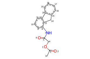 CC(=O)OCC(=O)Nc1cccc2c1Cc1ccccc1-2